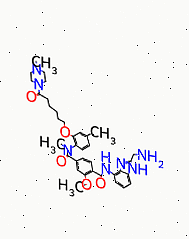 COc1cc(C(=O)N(C)c2ccc(C)cc2OCCCCCC(=O)N2CCN(C)CC2)ccc1C(=O)Nc1cccc2[nH]c(CN)nc12